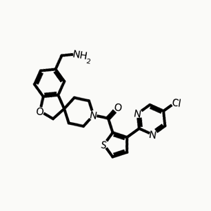 NCc1ccc2c(c1)C1(CCN(C(=O)c3sccc3-c3ncc(Cl)cn3)CC1)CO2